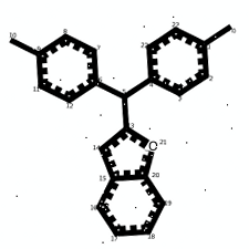 Cc1ccc(C(c2ccc(C)cc2)c2cc3ccccc3o2)cc1